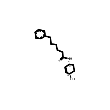 O=C(CCCCCc1ccccc1)N[C@H]1C=C[C@H](O)CC1